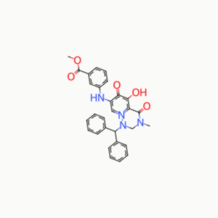 COC(=O)c1cccc(Nc2cn3c(c(O)c2=O)C(=O)N(C)CN3C(c2ccccc2)c2ccccc2)c1